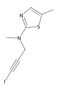 Cc1cnc(N(C)CC#CI)s1